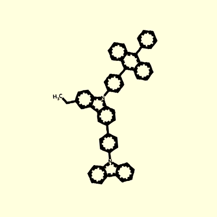 CCc1ccc2c(c1)c1cc(-c3ccc(-n4c5ccccc5c5ccccc54)cc3)ccc1n2-c1ccc(-c2c3ccccc3c(-c3ccccc3)c3ccccc23)cc1